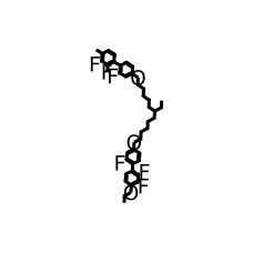 CCOc1ccc(-c2ccc(OCCCCCC(CC)CCCCCOc3ccc(-c4ccc(C)c(F)c4F)c(F)c3)cc2F)c(F)c1F